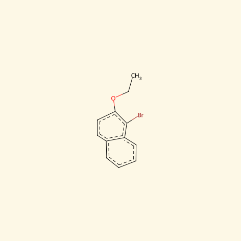 CCOc1ccc2ccccc2c1Br